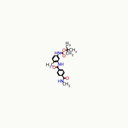 CNC(=O)c1ccc(C(=O)Nc2cc(NC(=O)OC(C)(C)C)ccc2C)cc1